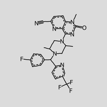 CC1CN(C(c2ccc(F)cc2)c2ccc(C(F)(F)F)cn2)C(C)CN1c1nc(=O)n(C)c2ccc(C#N)nc12